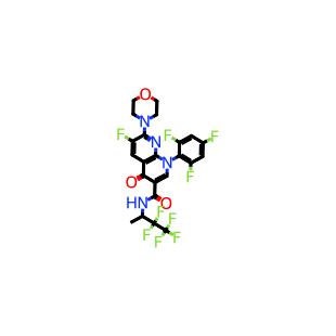 CC(NC(=O)c1cn(-c2c(F)cc(F)cc2F)c2nc(N3CCOCC3)c(F)cc2c1=O)C(F)(F)C(F)(F)F